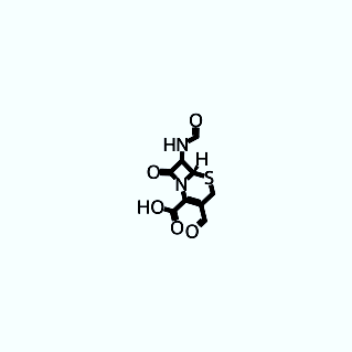 O=CNC1C(=O)N2C(C(=O)O)=C(C=O)CS[C@@H]12